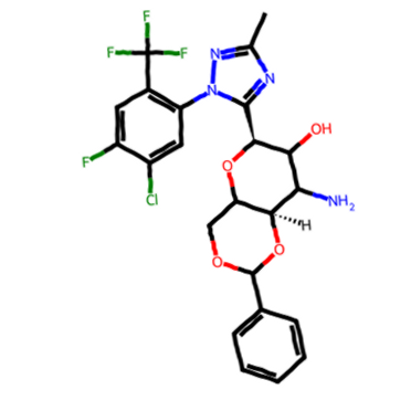 Cc1nc([C@@H]2OC3COC(c4ccccc4)O[C@@H]3C(N)C2O)n(-c2cc(Cl)c(F)cc2C(F)(F)F)n1